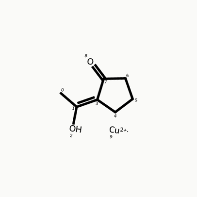 CC(O)=C1CCCC1=O.[Cu+2]